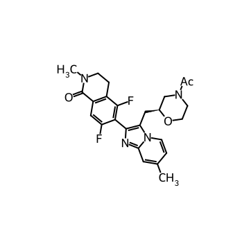 CC(=O)N1CCO[C@@H](Cc2c(-c3c(F)cc4c(c3F)CCN(C)C4=O)nc3cc(C)ccn23)C1